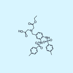 CCOC(=O)CN(CC(=O)O)Cc1ccc(NS(=O)(=O)c2ccc(C)cc2)c(NS(=O)(=O)c2ccc(C)cc2)c1